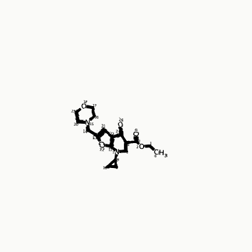 CCOC(=O)c1cn(C2CC2)c2oc(CN3CCOCC3)cc2c1=O